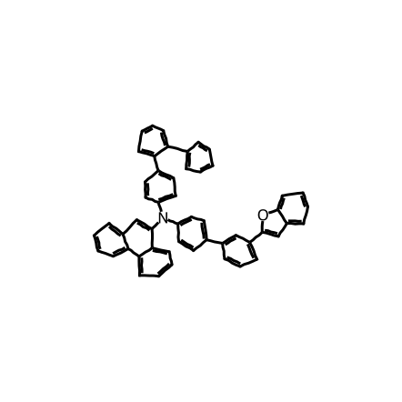 c1ccc(-c2ccccc2-c2ccc(N(c3ccc(-c4cccc(-c5cc6ccccc6o5)c4)cc3)c3cc4ccccc4c4ccccc34)cc2)cc1